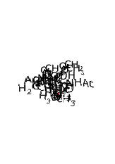 C=C(C)C(=O)OCC(O)COC(=O)C(C)CSCCC(NC(C)=O)C(=O)NCCC[Si](C)(C)O[Si](C)(C)CCCNC(=O)C(CCSCC(C)C(=O)OCC(O)COC(=O)C(=C)C)NC(C)=O